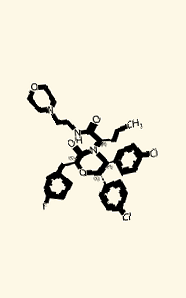 CCC[C@H](C(=O)NCCN1CCOCC1)N1C(=O)[C@H](Cc2ccc(F)cc2)O[C@@H](c2ccc(Cl)cc2)[C@H]1c1ccc(Cl)cc1